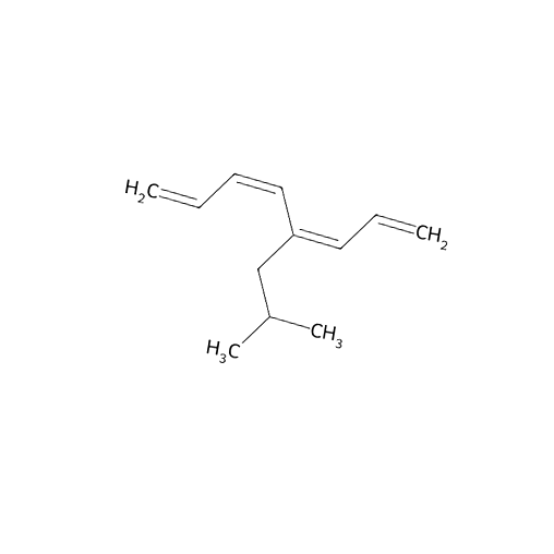 C=C/C=C\C(=C/C=C)CC(C)C